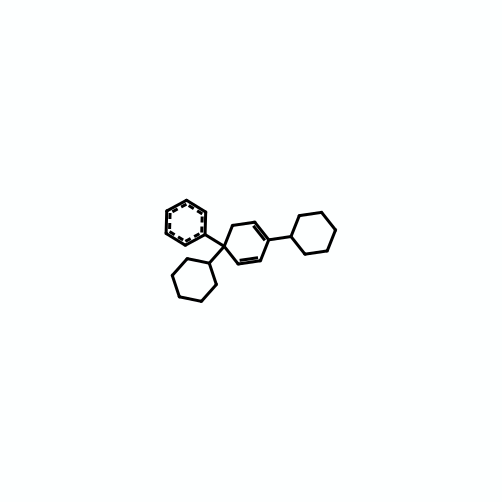 C1=CC(c2ccccc2)(C2CCCCC2)CC=C1C1CCCCC1